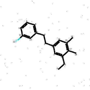 CCc1cc(CCc2cccc(F)c2)cc(C)c1C